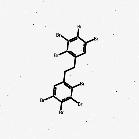 Brc1cc(CCc2cc(Br)c(Br)c(Br)c2Br)c(Br)c(Br)c1Br